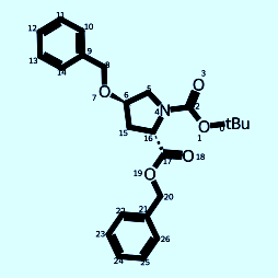 CC(C)(C)OC(=O)N1C[C@H](OCc2ccccc2)C[C@H]1C(=O)OCc1ccccc1